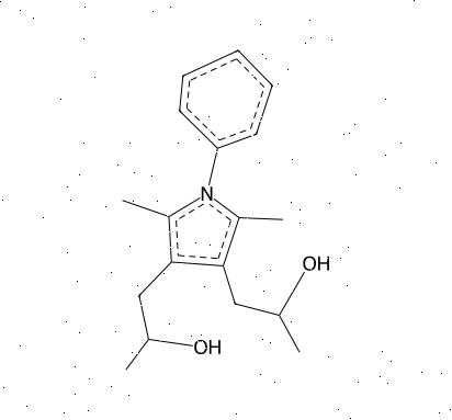 Cc1c(CC(C)O)c(CC(C)O)c(C)n1-c1ccccc1